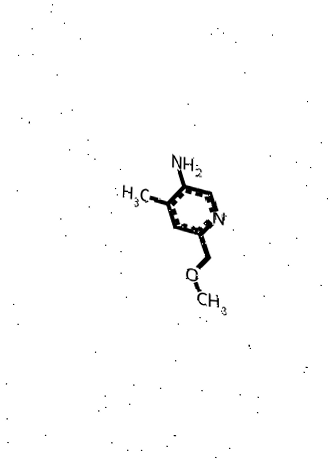 COCc1cc(C)c(N)cn1